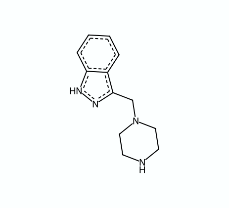 c1ccc2c(CN3CCNCC3)n[nH]c2c1